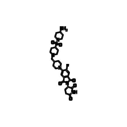 NC1CCN(S(=O)(=O)C2CCN(CC3CCN(c4cc5c(cc4F)C(=O)N(C4CCC(=O)NC4=O)C5=O)CC3)CC2)CC1